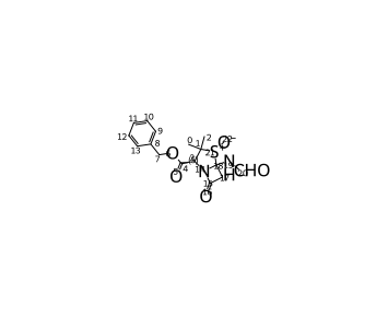 CC1(C)[C@H](C(=O)OCc2ccccc2)N2C(=O)CC2(NC=O)[S+]1[O-]